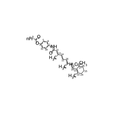 CCCC(=O)Oc1ccc(NC(=O)/C=C(C)/C=C/C=C(C)/C=C/C2=C(C)CCCC2(C)C)cc1